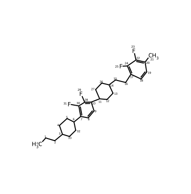 CCCC1CCC(c2ccc(C3CCC(CCc4ccc(C)c(F)c4F)CC3)c(F)c2F)CC1